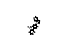 Nc1nc(-n2ccc3ccncc32)ccc1-c1cccnc1